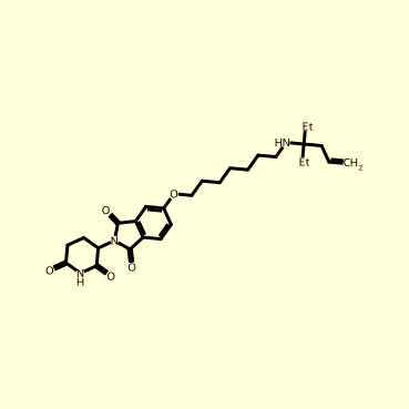 C=CCC(CC)(CC)NCCCCCCCOc1ccc2c(c1)C(=O)N(C1CCC(=O)NC1=O)C2=O